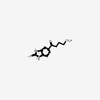 O=C(O)CCCC(=O)c1ccc2[nH]c(=O)[nH]c2c1